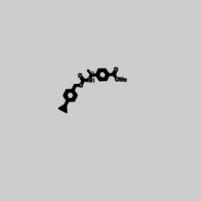 COC(=O)c1ccc([C@H](C)NC(=O)OCc2ccc(C3CC3)cc2)cc1